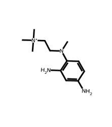 CN(CC[N+](C)(C)C)c1ccc(N)cc1N